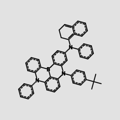 CC(C)(C)c1ccc(N2c3cc(N(C4=c5ccccc5=CCC4)c4ccccc4)ccc3B3c4ccccc4N(c4ccccc4)c4cccc2c43)cc1